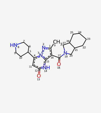 Cc1nn2c(C3CCNCC3)cc(=O)[nH]c2c1C(=O)N1CC2CCCCC2C1